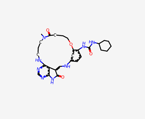 CN1CCCNc2ncnc3c2/C(=C/Nc2ccc(NC(=O)NC4CCCCC4)c(c2)OCCCC1=O)C(=O)N3